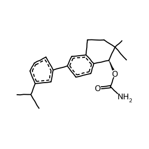 CC(C)c1cccc(-c2ccc3c(c2)CCC(C)(C)[C@H]3OC(N)=O)c1